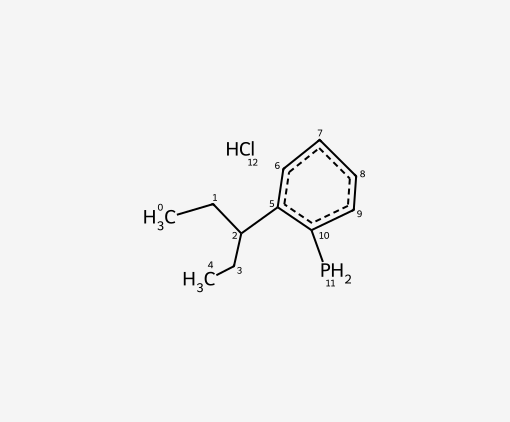 CCC(CC)c1ccccc1P.Cl